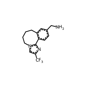 NCc1ccc2c(c1)CCCCn1cc(C(F)(F)F)nc1-2